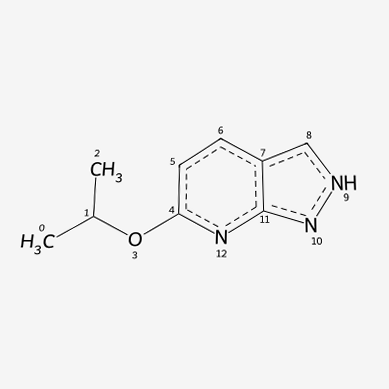 CC(C)Oc1ccc2c[nH]nc2n1